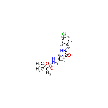 CC(C)(C)OC(=O)NCC1CN(C(=O)NCc2ccc(Cl)cc2)C1